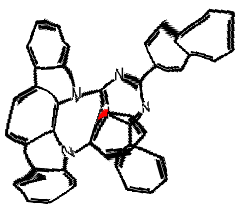 c1ccc(-c2nc(-c3ccc4ccccc4c3)nc(-n3c4ccccc4c4ccc5c6ccccc6n(-c6ccccc6)c5c43)n2)cc1